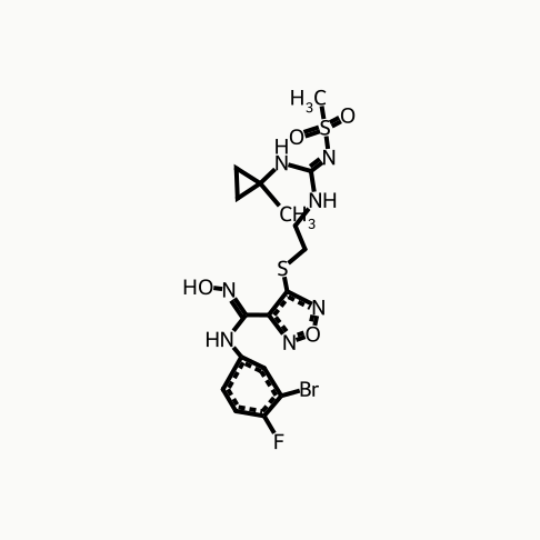 CC1(N/C(=N\S(C)(=O)=O)NCCSc2nonc2/C(=N/O)Nc2ccc(F)c(Br)c2)CC1